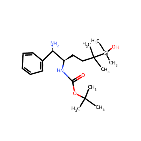 CC(C)(C)OC(=O)N[C@H](CCC(C)(C)[Si](C)(C)O)[C@@H](N)c1ccccc1